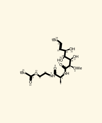 CO[C@@H](C(=O)N[C@@H](C)C(=O)NCCOC(=O)C(C)(C)C)[C@H](O)[C@@H](O)[C@H](O)/C=C/C(C)(C)C